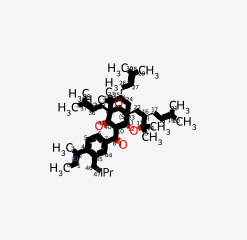 C/C=C(\C)c1ccc(C(=O)C2=C3OC(C)(C)[C@@H](CC=C(C)C)C[C@@]34C[C@@H](CC=C(C)C)C(C)(C)[C@@](CC=C(C)C)(C2=O)C4=O)cc1CC(C)C